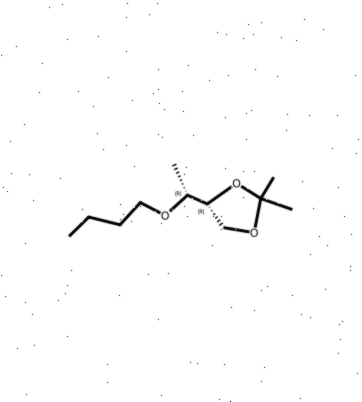 CCCCO[C@H](C)[C@H]1COC(C)(C)O1